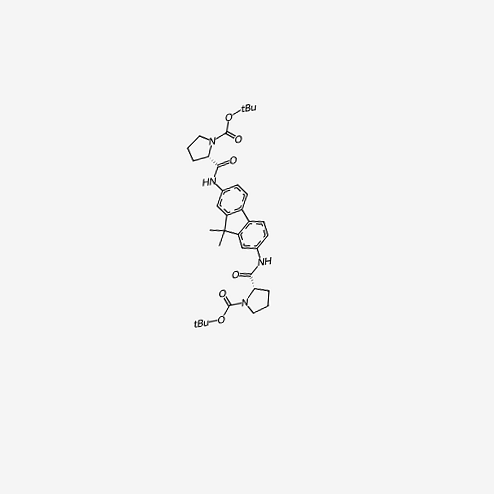 CC(C)(C)OC(=O)N1CCC[C@H]1C(=O)Nc1ccc2c(c1)C(C)(C)c1cc(NC(=O)[C@@H]3CCCN3C(=O)OC(C)(C)C)ccc1-2